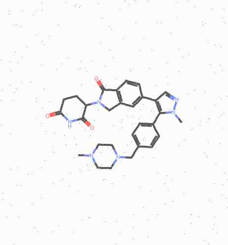 CN1CCN(Cc2ccc(-c3c(-c4ccc5c(c4)CN(C4CCC(=O)NC4=O)C5=O)cnn3C)cc2)CC1